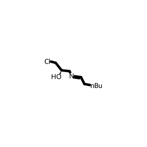 CCCCCC=NC[C@H](O)CCl